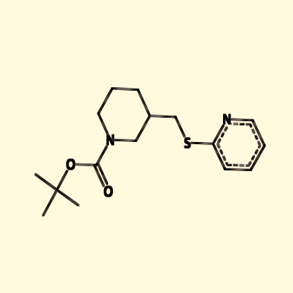 CC(C)(C)OC(=O)N1CCCC(CSc2ccccn2)C1